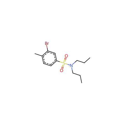 CCCN(CCC)S(=O)(=O)c1ccc(C)c(Br)c1